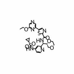 CCOc1cncc(-c2cnc(C(=O)N[C@H](c3cc(NS(=O)(=O)C4CC4)ccn3)[C@@H]3COCCO3)s2)n1